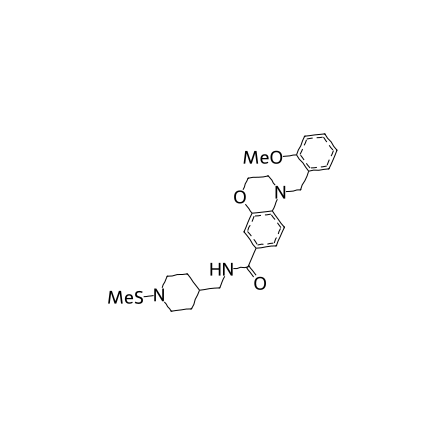 COc1ccccc1CN1CCOc2cc(C(=O)NCC3CCN(SC)CC3)ccc21